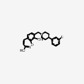 OC1=NOc2c(ccc(CN3CCC(c4cccc(Cl)c4)CC3)c2O)C=C1